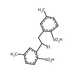 CCC(Cc1cc(C)ccc1S(=O)(=O)O)c1cc(C)ccc1S(=O)(=O)O